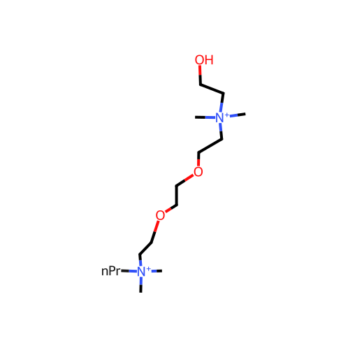 CCC[N+](C)(C)CCOCCOCC[N+](C)(C)CCO